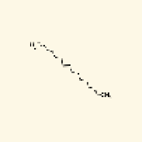 C=CCCCCC=CCCCCCC=CC